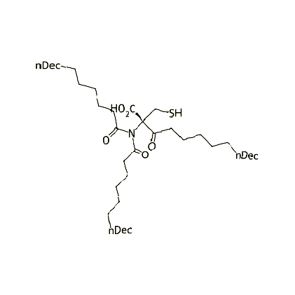 CCCCCCCCCCCCCCCC(=O)N(C(=O)CCCCCCCCCCCCCCC)[C@@](CS)(C(=O)O)C(=O)CCCCCCCCCCCCCCC